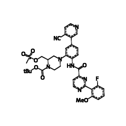 COc1cccc(F)c1-c1nccc(C(=O)Nc2ccc(-c3cnccc3C#N)cc2N2CCN(C(=O)OC(C)(C)C)C(COS(C)(=O)=O)C2)n1